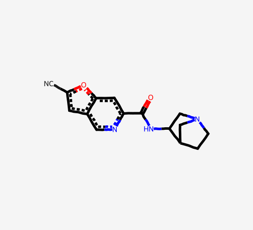 N#Cc1cc2cnc(C(=O)NC3CN4CCC3C4)cc2o1